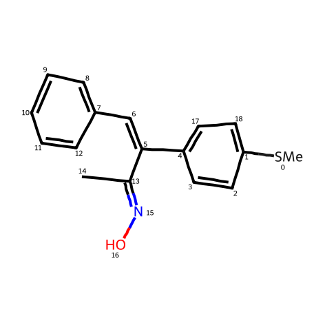 CSc1ccc(C(=Cc2ccccc2)C(C)=NO)cc1